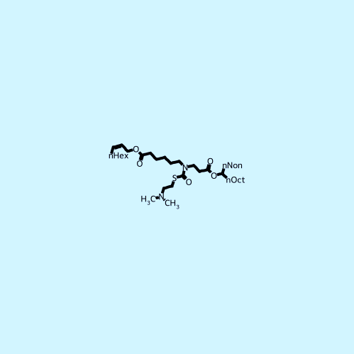 CCCCCC/C=C\COC(=O)CCCCCN(CCC(=O)OC(CCCCCCCC)CCCCCCCCC)C(=O)SCCN(C)C